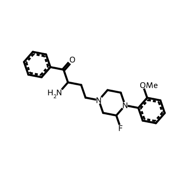 COc1ccccc1N1CCN(CCC(N)C(=O)c2ccccc2)CC1F